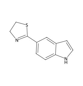 c1cc2cc(C3=NCCS3)ccc2[nH]1